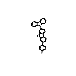 Cc1ccc(-c2ccc3c(c2)oc2cc(-n4c5ccccc5c5ccccc54)ccc23)cc1